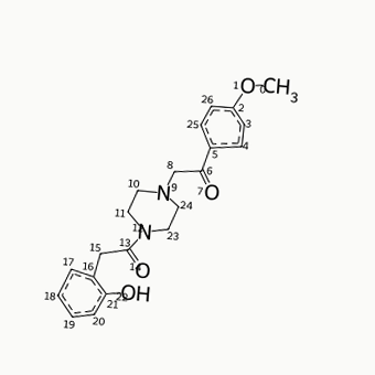 COc1ccc(C(=O)CN2CCN(C(=O)Cc3ccccc3O)CC2)cc1